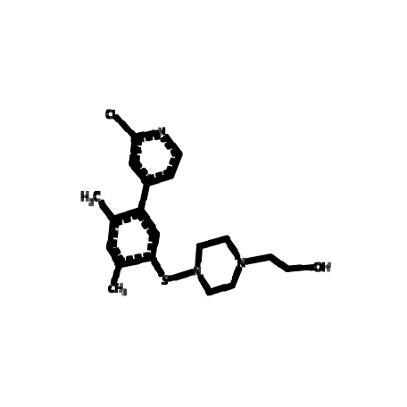 Cc1cc(C)c(-c2ccnc(Cl)c2)cc1SN1CCN(CCO)CC1